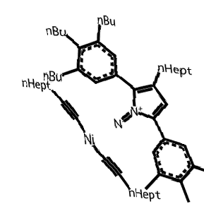 CCCCCCCC#[C][Ni][C]#CCCCCCCC.CCCCCCCC1=C(c2cc(CCCC)c(CCCC)c(CCCC)c2)[N+](=[N-])C(c2cc(C)c(C)c(C)c2)=C1